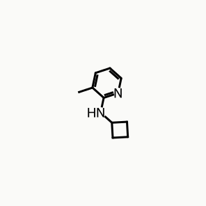 Cc1cccnc1NC1CCC1